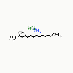 CCCCCCCCCCCCC(C)C.Cl.N